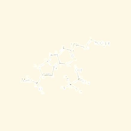 CCOC(=O)CONc1csc2c3cc(C(=O)OC)sc3cc-2c1.O=C(O)C(F)(F)F